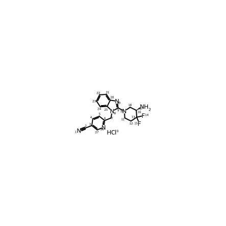 Cl.N#Cc1ccc(Cn2c(N3CCC(F)(F)[C@H](N)C3)nc3ccccc32)nc1